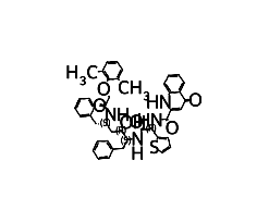 Cc1cccc(C)c1OCC(=O)N[C@@H](Cc1ccccc1)C[C@@H](O)[C@H](Cc1ccccc1)NC(=O)[C@@H](NC(=O)c1cc(=O)c2ccccc2[nH]1)c1cccs1